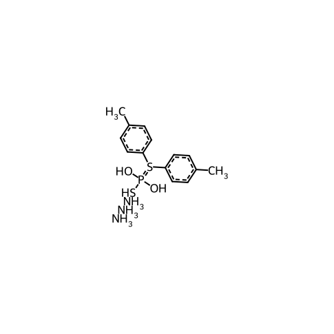 Cc1ccc(S(c2ccc(C)cc2)=P(O)(O)S)cc1.N.N.N